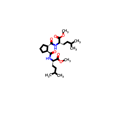 COC(=O)[C@H](CCC(C)C)NC(=O)[C@H]1CCC[C@@H]1C(=O)N[C@@H](CCC(C)C)C(=O)OC